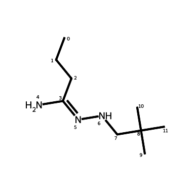 CCC/C(N)=N\NCC(C)(C)C